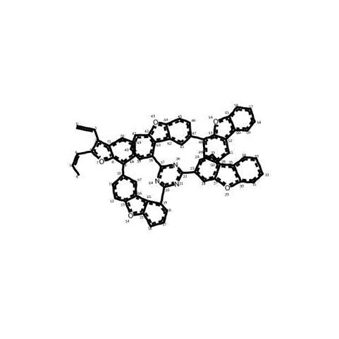 C=Cc1c(/C=C\C)oc2c(-c3ccc4oc5cccc(-c6nc(-c7ccc8c(c7)oc7ccccc78)nc(-c7cccc8oc9ccc(-c%10cccc%11c%10oc%10ccccc%10%11)cc9c78)n6)c5c4c3)cccc12